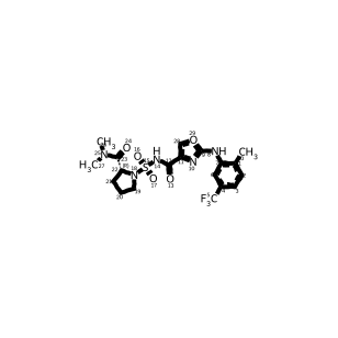 Cc1ccc(C(F)(F)F)cc1Nc1nc(C(=O)NS(=O)(=O)N2CCC[C@@H]2C(=O)N(C)C)co1